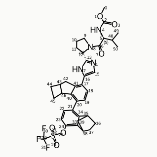 COC(=O)N[C@H](C(=O)N1CCC[C@H]1c1ncc(-c2ccc(-c3ccc(OS(=O)(=O)C(F)(F)F)c4c3C3CCC4C3)c3c2CC2CCC32)[nH]1)C(C)C